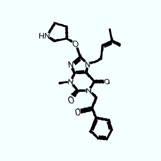 CC(C)=CCn1c(OC2CCNC2)nc2c1c(=O)n(CC(=O)c1ccccc1)c(=O)n2C